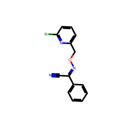 N#CC(=NOCc1cccc(Br)n1)c1ccccc1